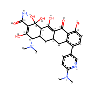 CN(C)c1ccc(-c2ccc(O)c3c2CC2CC4C(C(O)=C2C3=O)C(O)(O)C(C(N)=O)=C(O)[C@H]4N(C)C)cn1